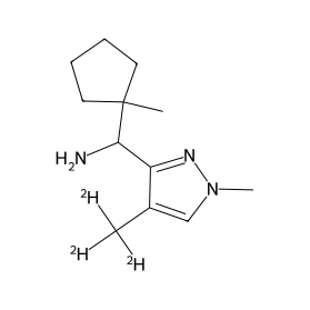 [2H]C([2H])([2H])c1cn(C)nc1C(N)C1(C)CCCC1